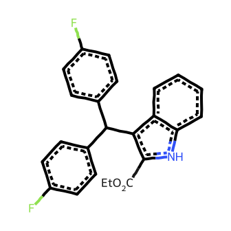 CCOC(=O)c1[nH]c2ccccc2c1C(c1ccc(F)cc1)c1ccc(F)cc1